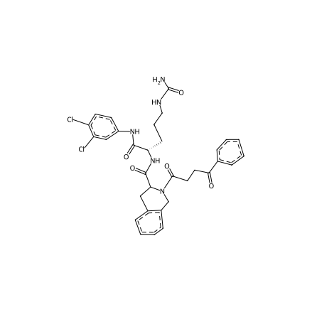 NC(=O)NCCC[C@H](NC(=O)C1Cc2ccccc2CN1C(=O)CCC(=O)c1ccccc1)C(=O)Nc1ccc(Cl)c(Cl)c1